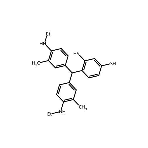 CCNc1ccc(C(c2ccc(NCC)c(C)c2)c2ccc(S)cc2S)cc1C